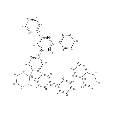 C1=CC(c2nc(-c3ccccc3)nc(-c3ccc(C4(c5ccc(-c6cccc(-c7cccc8c7C=CCC8)c6)cc5)CCCCC4)cc3)n2)=CCC1